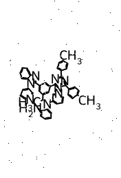 Cc1ccc(-c2nc(-c3ccc(C)cc3)nc(-c3cc(-c4nc5ccccc5n4-c4cccnc4)cc(C(C)N(c4cccnc4)c4ccccc4N)c3)n2)cc1